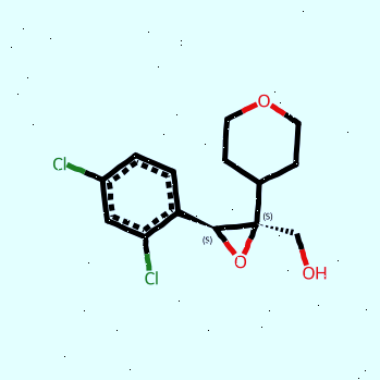 OC[C@]1(C2CCOCC2)O[C@H]1c1ccc(Cl)cc1Cl